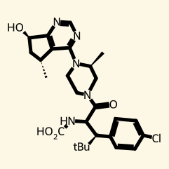 C[C@@H]1C[C@@H](O)c2ncnc(N3CCN(C(=O)C(NC(=O)O)[C@@H](c4ccc(Cl)cc4)C(C)(C)C)C[C@@H]3C)c21